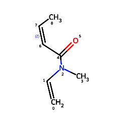 C=CN(C)C(=O)/C=C\C